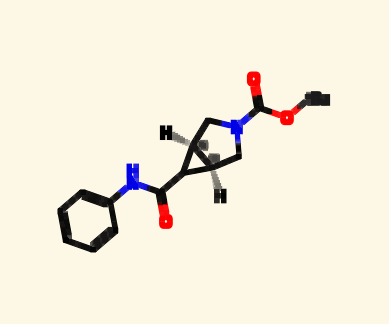 CC(C)(C)OC(=O)N1C[C@@H]2C(C(=O)Nc3ccccc3)[C@@H]2C1